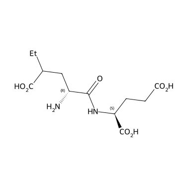 CCC(C[C@@H](N)C(=O)N[C@@H](CCC(=O)O)C(=O)O)C(=O)O